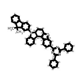 CC1(C)c2ccccc2-c2ccc(N3c4ccccc4C4c5c(oc6cc(-c7nc(-c8ccccc8)nc(-c8ccccc8)n7)ccc56)C=CC43)cc21